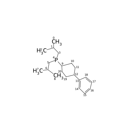 CC(C)CP(CC(C)C)C1CCC(c2ccccc2)CC1